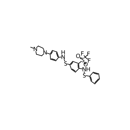 CN1CCN(c2ccc(NSc3ccc(NSc4ccccc4)c(S(=O)(=O)C(F)(F)F)c3)cc2)CC1